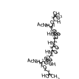 CC(=O)N[C@H](COCC[C@@H](C)O)COP(=O)(O)OCCNC(=O)CC(=O)NCCOP(=O)(O)OC[C@@H](COCC[C@@H](C)O)NC(C)=O